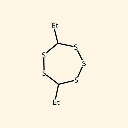 CCC1SSSC(CC)SS1